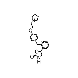 O=C1NCC(c2ccc[c]c2Cc2ccc(OCCN3CCCC3)cc2)O1